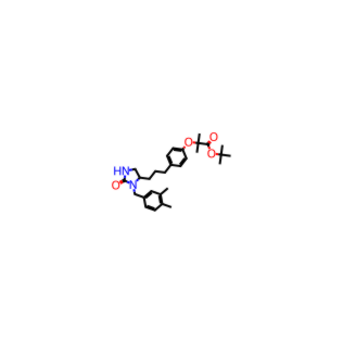 Cc1ccc(CN2C(=O)NCC2CCCc2ccc(OC(C)(C)C(=O)OC(C)(C)C)cc2)cc1C